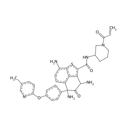 C=CC(=O)N1CCCC(NC(=O)c2sc3c(N)ccc4c3c2C(N)C(=O)C4(N)c2ccc(Oc3ccc(C)cn3)cc2)C1